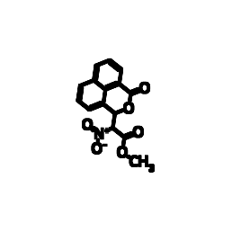 COC(=O)C(C1OC(=O)c2cccc3cccc1c23)[N+](=O)[O-]